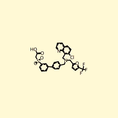 O=C(O)CS(=O)(=O)c1cccc(-c2ccc(CN(Cc3ccc(C(F)(F)F)o3)Cc3c(Cl)ccc4cccnc34)cc2)c1